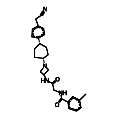 Cc1cccc(C(=O)NCC(=O)NC2CN([C@H]3CC[C@@H](c4ccc(CC#N)cc4)CC3)C2)c1